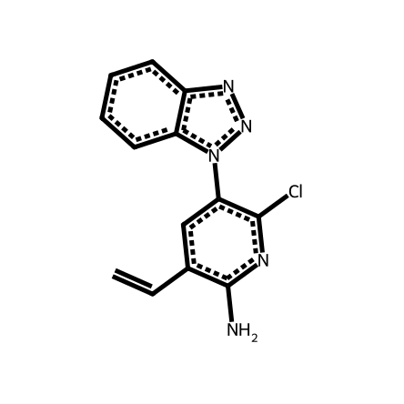 C=Cc1cc(-n2nnc3ccccc32)c(Cl)nc1N